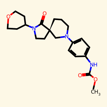 COC(=O)Nc1ccc(N2CCC[C@]3(CCN(C4CCOCC4)C3=O)C2)cc1